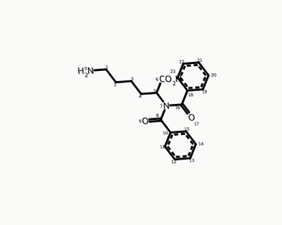 NCCCCC(C(=O)O)N(C(=O)c1ccccc1)C(=O)c1ccccc1